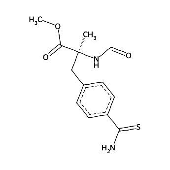 COC(=O)[C@](C)(Cc1ccc(C(N)=S)cc1)NC=O